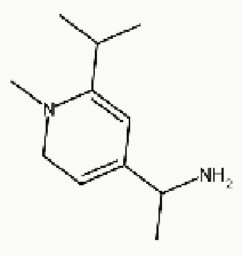 CC(C)C1=CC(C(C)N)=CCN1C